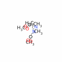 COC(=O)c1ccc(CCN(C)CCCC(C#N)(c2cccc(C(=O)OC)c2)C(C)C)cc1